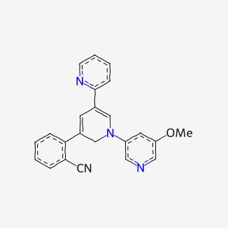 COc1cncc(N2C=C(c3ccccn3)C=C(c3ccccc3C#N)C2)c1